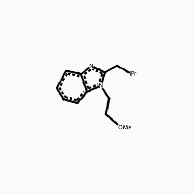 COCCn1c(CC(C)C)nc2ccccc21